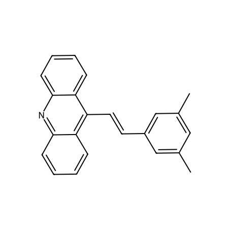 Cc1cc(C)cc(C=Cc2c3ccccc3nc3ccccc23)c1